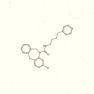 O=C(NCCCCc1ccncc1)N1Cc2ccccc2Sc2ccc(Cl)cc21